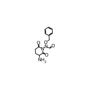 NC1CCC(=O)N(N(C=O)OCc2ccccc2)C1=O